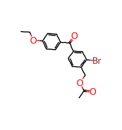 CCOc1ccc(C(=O)c2ccc(COC(C)=O)c(Br)c2)cc1